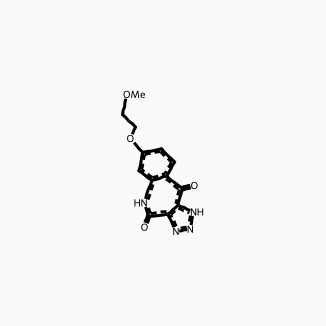 COCCOc1ccc2c(=O)c3[nH]nnc3c(=O)[nH]c2c1